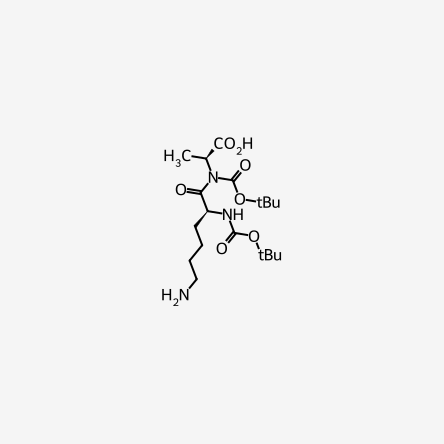 C[C@@H](C(=O)O)N(C(=O)OC(C)(C)C)C(=O)[C@H](CCCCN)NC(=O)OC(C)(C)C